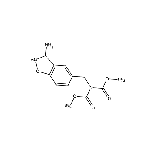 CC(C)(C)OC(=O)N(Cc1ccc2c(c1)C(N)NO2)C(=O)OC(C)(C)C